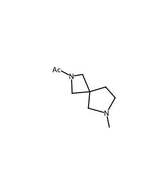 CC(=O)N1CC2(CCN(C)C2)C1